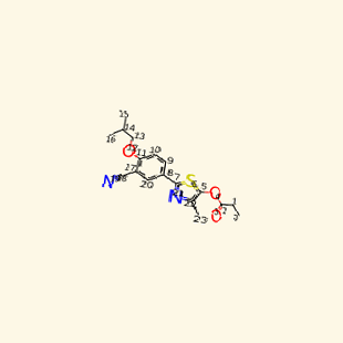 CCC(=O)Oc1sc(-c2ccc(OCC(C)C)c(C#N)c2)nc1C